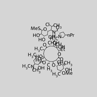 CCC[C@@H]1C[C@@H](C(=O)N[C@@H]([C@H]2O[C@H](SC)[C@H](O)[C@@H](O)[C@H]2O)[C@H](C)Cl)N(C)C1.CC[C@H]1OC(=O)[C@H](C)[C@@H](O[C@H]2C[C@@](C)(OC)[C@@H](O)[C@H](C)O2)[C@H](C)[C@@H](O[C@@H]2O[C@H](C)C[C@H](N(C)C)[C@H]2O)[C@](C)(O)C[C@@H](C)C(=O)[C@H](C)[C@@H](O)[C@]1(C)O